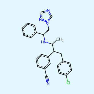 CC(N[C@H](Cn1cncn1)c1ccccc1)C(Cc1ccc(Cl)cc1)c1cccc(C#N)c1